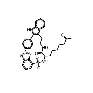 CC(=O)CCCCC[C@H](NS(=O)(=O)c1cccc2nsnc12)C(=O)NCCc1c(-c2ccccc2)[nH]c2ccccc12